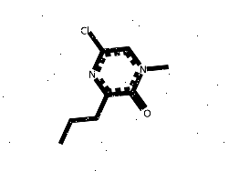 CCCc1nc(Cl)cn(C)c1=O